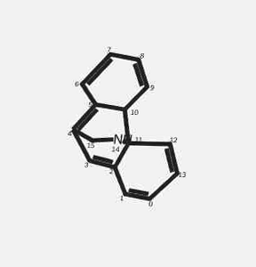 C1=CC2=CC3=C4C=CC=CC4C2(C=C1)NC3